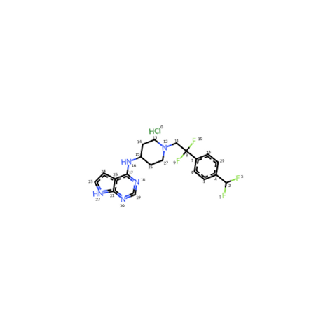 Cl.FC(F)c1ccc(C(F)(F)CN2CCC(Nc3ncnc4[nH]ccc34)CC2)cc1